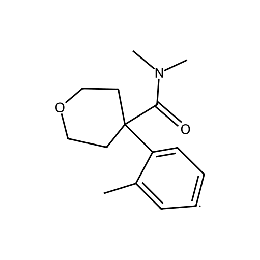 Cc1c[c]ccc1C1(C(=O)N(C)C)CCOCC1